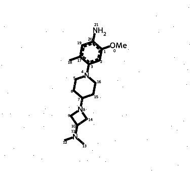 COc1cc(N2CCC(N3CC(N(C)C)C3)CC2)c(C)cc1N